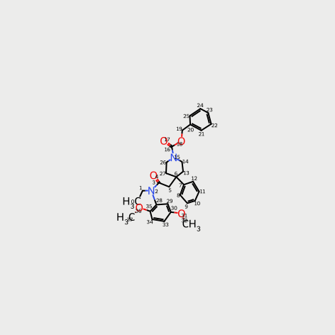 CCN(C(=O)CC1(c2ccccc2)CCN(C(=O)OCc2ccccc2)CC1)c1cc(OC)ccc1OC